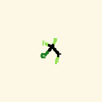 F[CH]C(F)(F)Cl